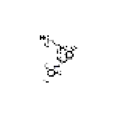 COc1cc(OC)c(/C=C/[S+]([O-])Cc2ccc(OC)c(OC(=O)CCCC(=O)O)c2)c(OC)c1